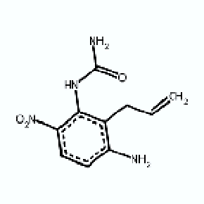 C=CCc1c(N)ccc([N+](=O)[O-])c1NC(N)=O